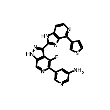 Nc1cncc(-c2ncc3[nH]nc(-c4nc5c(-c6ccsc6)nccc5[nH]4)c3c2F)c1